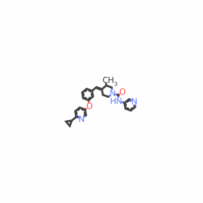 CC1CN(C(=O)Nc2cccnc2)CC/C1=C\c1cccc(Oc2ccc(C3CC3)nc2)c1